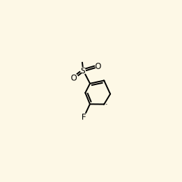 CS(=O)(=O)C1=CC[CH]C(F)=C1